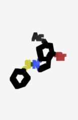 CC(=O)c1cc(Br)c2ccn(Sc3ccccc3)c2c1